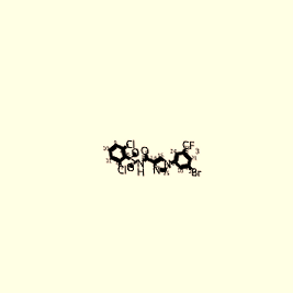 O=C(NS(=O)(=O)c1c(Cl)cccc1Cl)c1cn(-c2cc(Br)cc(C(F)(F)F)c2)cn1